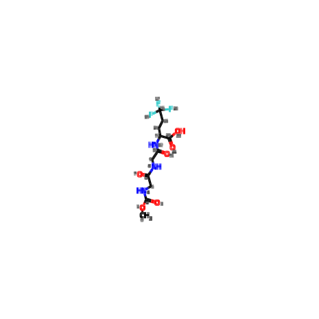 COC(=O)NCC(=O)NCC(=O)NC(CCC(F)(F)F)C(=O)O